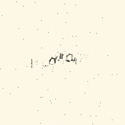 CC(C)(C)c1ccc(OP(OCl)Oc2ccc(C(C)(C)C)cc2)cc1